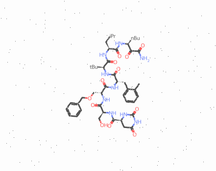 CCCC[C@H](NC(=O)[C@H](CC(C)C)NC(=O)[C@@H](NC(=O)[C@H](Cc1ccccc1C)NC(=O)[C@@H](COCc1ccccc1)NC(=O)[C@H](CO)NC(=O)[C@@H]1CC(=O)NC(=O)N1)C(C)(C)C)C(=O)C(N)=O